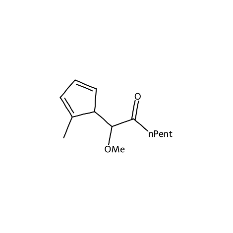 CCCCCC(=O)C(OC)C1C=CC=C1C